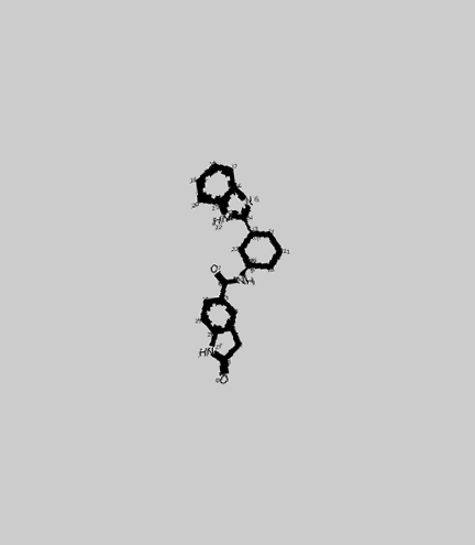 O=C1Cc2cc(C(=O)N[C@@H]3CCC[C@H](c4nc5ccccc5[nH]4)C3)ccc2N1